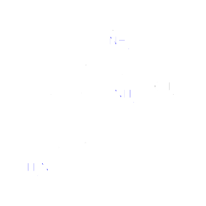 [CH2]CC(N)(N)CC1CCC(N)CC1